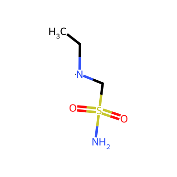 CC[N]CS(N)(=O)=O